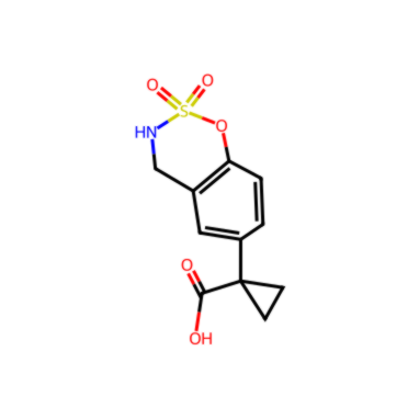 O=C(O)C1(c2ccc3c(c2)CNS(=O)(=O)O3)CC1